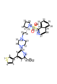 CCCCc1cc(-c2ccsc2)cc(N2CCN(CC[C@@H]3CCCN3S(=O)(=O)c3nccc4ccccc34)CC2)n1